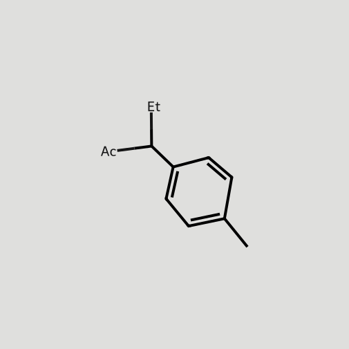 CCC(C(C)=O)c1ccc(C)cc1